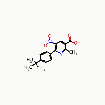 Cc1nc(-c2ccc(C(C)(C)C)cc2)c([N+](=O)[O-])cc1C(=O)O